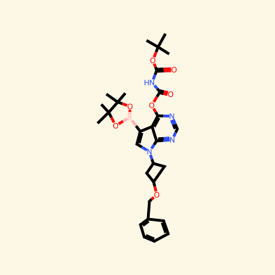 CC(C)(C)OC(=O)NC(=O)Oc1ncnc2c1c(B1OC(C)(C)C(C)(C)O1)cn2C1CC(OCc2ccccc2)C1